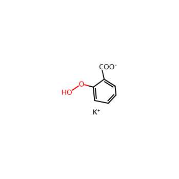 O=C([O-])c1ccccc1OO.[K+]